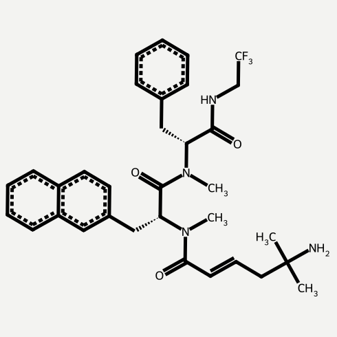 CN(C(=O)/C=C/CC(C)(C)N)[C@H](Cc1ccc2ccccc2c1)C(=O)N(C)[C@H](Cc1ccccc1)C(=O)NCC(F)(F)F